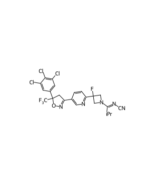 CC(C)C(=NC#N)N1CC(F)(c2ccc(C3=NOC(c4cc(Cl)c(Cl)c(Cl)c4)(C(F)(F)F)C3)cn2)C1